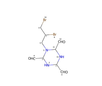 O=CC1NC(C=O)N(CC(Br)CBr)C(C=O)N1